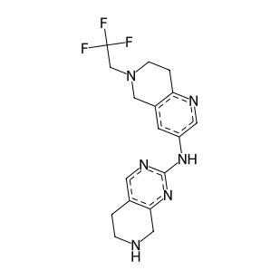 FC(F)(F)CN1CCc2ncc(Nc3ncc4c(n3)CNCC4)cc2C1